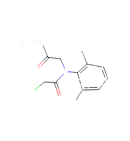 CCc1cccc(C)c1N(CC(=O)N(C)O)C(=O)CCl